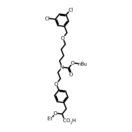 CCCCOC(=O)N(CCCCOCc1cc(Cl)cc(Cl)c1)CCOc1ccc(CC(OCC)C(=O)O)cc1